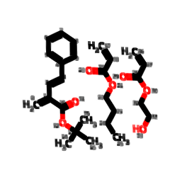 C=C(C=Cc1ccccc1)C(=O)OC(C)(C)C.C=CC(=O)OCCCC.C=CC(=O)OCCO